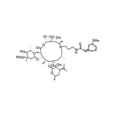 CC[C@H]1OC(=O)[C@H](C)[C@@H](O[C@H]2C[C@@](C)(OC)[C@@H](O)[C@H](C)O2)[C@H](C)[C@@H](O[C@@H]2O[C@H](C)C[C@H](N(C)C)[C@H]2O)[C@](C)(O)C[C@@H](C)CN(CCCNC(=O)Nc2cccc(SC)c2)[C@H](C)[C@@H](O)[C@]1(C)O